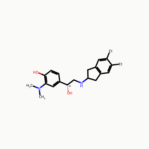 CCc1cc2c(cc1CC)CC(NC[C@H](O)c1ccc(O)c(N(C)C)c1)C2